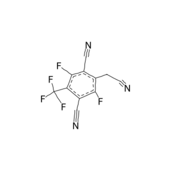 N#CCc1c(F)c(C#N)c(C(F)(F)F)c(F)c1C#N